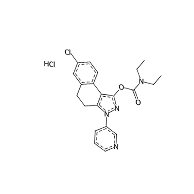 CCN(CC)C(=O)Oc1nn(-c2cccnc2)c2c1-c1ccc(Cl)cc1CC2.Cl